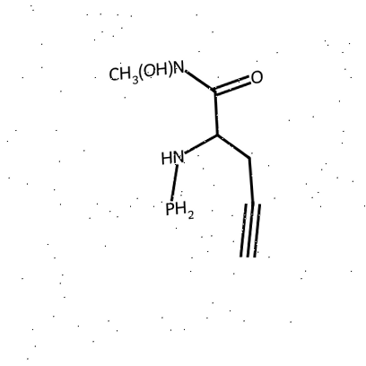 C#CCC(NP)C(=O)N(C)O